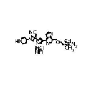 C[Si](C)(C)CCOCC1C=NC(c2cnn(C3(CC#N)CN(C4CCNCC4)C3)c2)=C2C=CN=C21.Cl.Cl.Cl